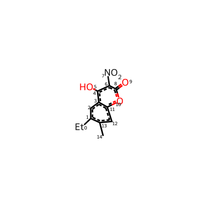 CCc1cc2c(O)c([N+](=O)[O-])c(=O)oc2cc1C